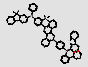 CC1(C)c2ccccc2-c2ccc(N(c3ccccc3)c3ccc4c(c3)[Si](C)(C)c3cccc5c3c-4cc3c4ccccc4c(-c4ccc(N(c6ccccc6-c6ccccc6)c6cccc7c6oc6ccccc67)cc4)cc53)cc21